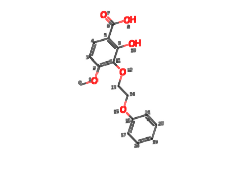 COc1ccc(C(=O)O)c(O)c1OCCOc1ccccc1